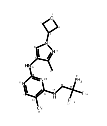 Cc1nn(C2COC2)cc1Nc1ncc(C#N)c(NCC(F)(P)P)n1